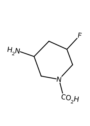 NC1CC(F)CN(C(=O)O)C1